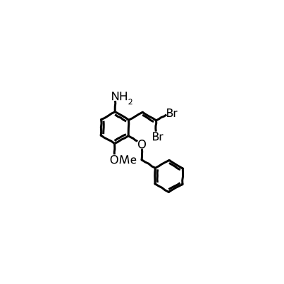 COc1ccc(N)c(C=C(Br)Br)c1OCc1ccccc1